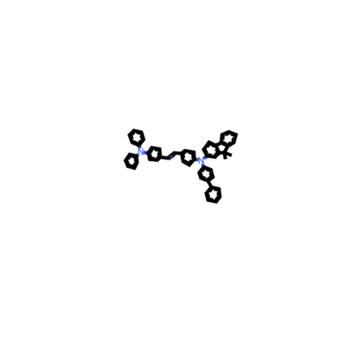 CC1(C)c2ccccc2-c2ccc(N(c3ccc(/C=C/c4ccc(N(c5ccccc5)c5ccccc5)cc4)cc3)c3ccc(-c4ccccc4)cc3)cc21